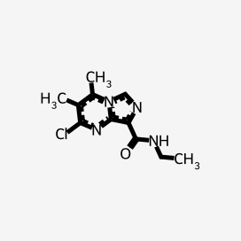 CCNC(=O)c1ncn2c(C)c(C)c(Cl)nc12